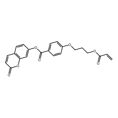 C=CC(=O)OCCCOc1ccc(C(=O)Oc2ccc3ccc(=O)oc3c2)cc1